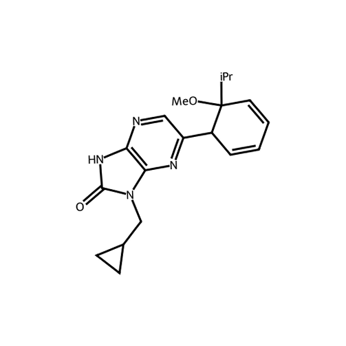 COC1(C(C)C)C=CC=CC1c1cnc2[nH]c(=O)n(CC3CC3)c2n1